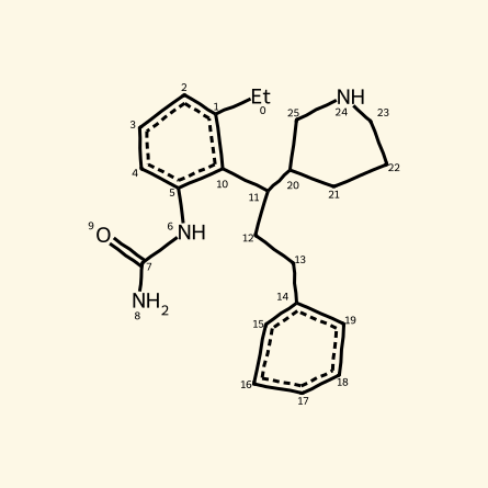 CCc1cccc(NC(N)=O)c1C(CCc1ccccc1)C1CCCNC1